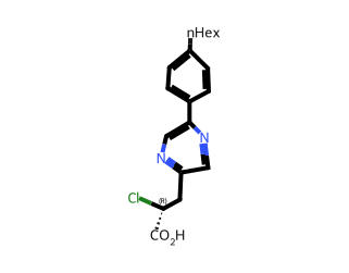 CCCCCCc1ccc(-c2cnc(C[C@@H](Cl)C(=O)O)cn2)cc1